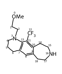 COCCN1CCCc2cc3c(c(C(F)(F)F)c21)CCNCC3